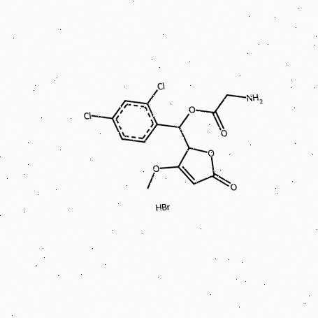 Br.COC1=CC(=O)OC1C(OC(=O)CN)c1ccc(Cl)cc1Cl